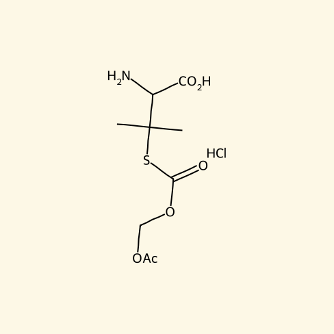 CC(=O)OCOC(=O)SC(C)(C)C(N)C(=O)O.Cl